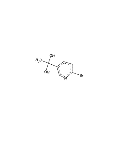 BC(O)(O)c1ccc(Br)nc1